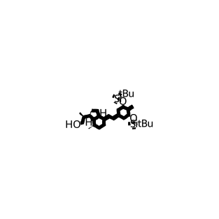 C=C1[C@@H](O[Si](C)(C)C(C)(C)C)CC(=C/C=C2\CC[C@H](C)[C@@H]3[C@H]([C@H](C)CO)CC[C@H]23)C[C@H]1O[Si](C)(C)C(C)(C)C